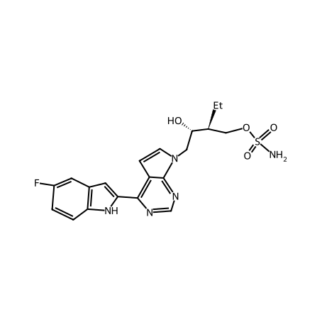 CC[C@@H](COS(N)(=O)=O)[C@@H](O)Cn1ccc2c(-c3cc4cc(F)ccc4[nH]3)ncnc21